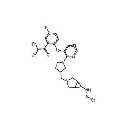 CCSNC1C2CN(CC3CCN(c4ncncc4Oc4ccc(F)cc4C(=O)N(C(C)C)C(C)C)C3)CC21